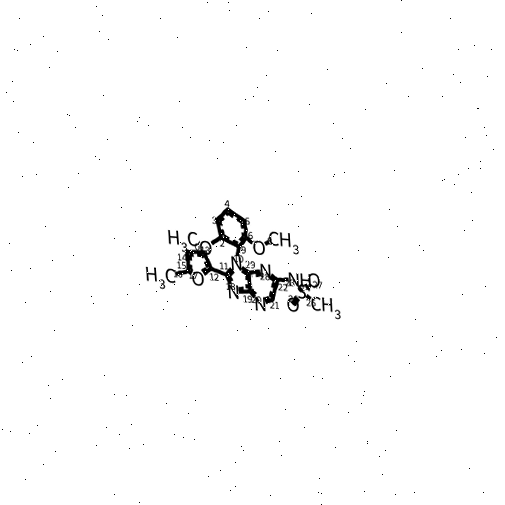 COc1cccc(OC)c1-n1c(-c2ccc(C)o2)nc2ncc(NS(C)(=O)=O)nc21